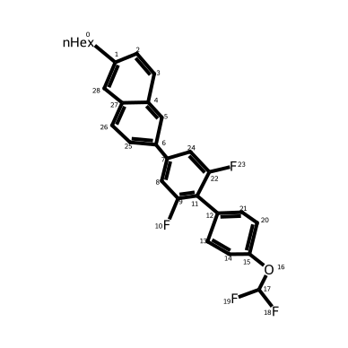 CCCCCCc1ccc2cc(-c3cc(F)c(-c4ccc(OC(F)F)cc4)c(F)c3)ccc2c1